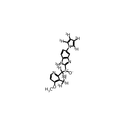 [2H]c1c([2H])c([2H])n(-c2ccc3c(c2)nc([S+]([O-])C([2H])([2H])c2nccc(OC)c2C([2H])([2H])[2H])n3[2H])c1[2H]